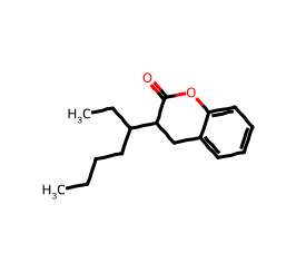 CCCCC(CC)C1Cc2ccccc2OC1=O